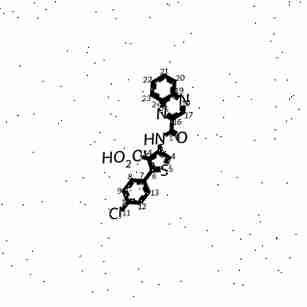 O=C(Nc1csc(-c2ccc(Cl)cc2)c1C(=O)O)c1cnc2ccccc2n1